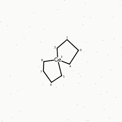 C1C[CH2][Ge]2([CH2]1)[CH2]CC[CH2]2